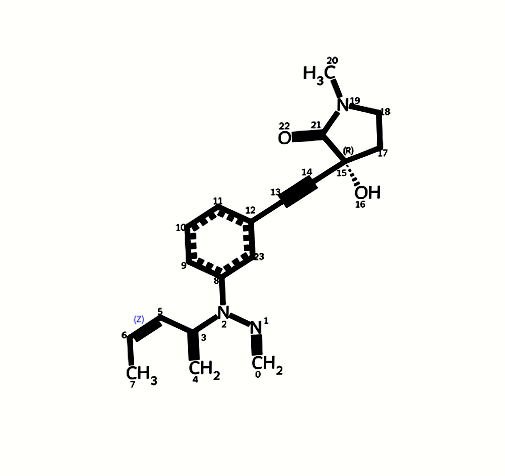 C=NN(C(=C)/C=C\C)c1cccc(C#C[C@]2(O)CCN(C)C2=O)c1